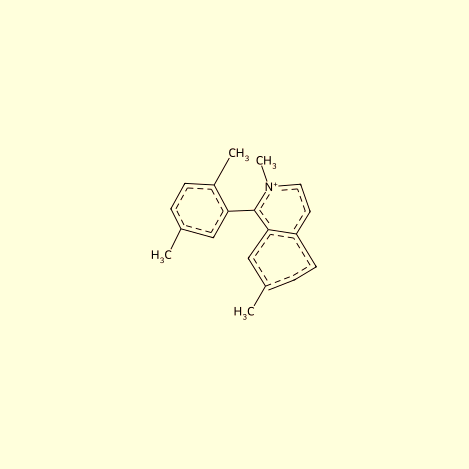 Cc1ccc(C)c(-c2c3cc(C)ccc3cc[n+]2C)c1